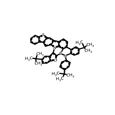 CC(C)(C)c1ccc(N2B3c4oc5ccc(C(C)(C)C)cc5c4-n4c5cc6c(cc5c5ccc(c3c54)-c3cc(C(C)(C)C)ccc32)sc2ccccc26)cc1